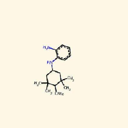 COC1C(C)(C)CC(Nc2ccccc2N)CC1(C)C